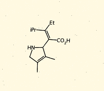 CCC(=C(C(=O)O)C1NCC(C)=C1C)C(C)C